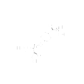 CN(C)C(=O)C1CCC(O/N=C(/C(=O)O)C(=O)CCl)CC1